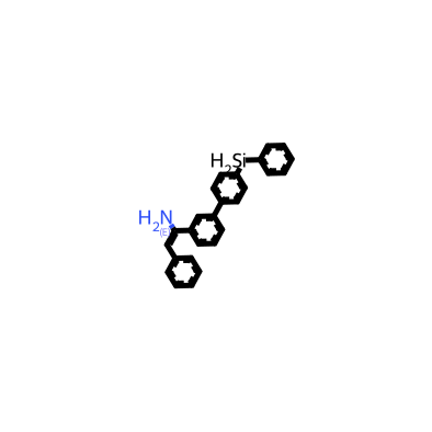 N/C(=C/c1ccccc1)c1cccc(-c2ccc([SiH2]c3ccccc3)cc2)c1